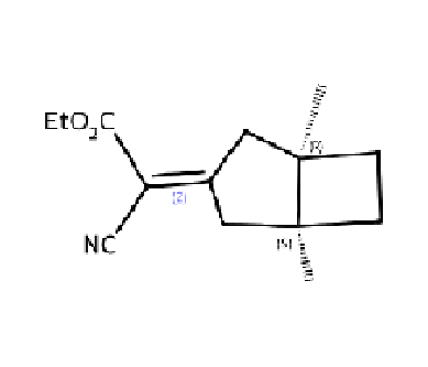 CCOC(=O)/C(C#N)=C1/C[C@]2(C)CC[C@]2(C)C1